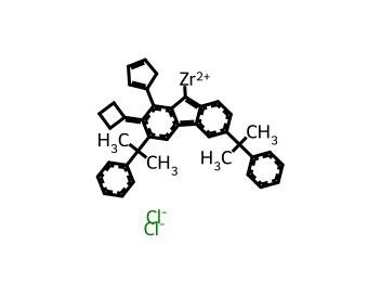 CC(C)(c1ccccc1)c1ccc2c(c1)=c1cc(C(C)(C)c3ccccc3)c(=C3CCC3)c(C3=CC=CC3)c1[C]=2[Zr+2].[Cl-].[Cl-]